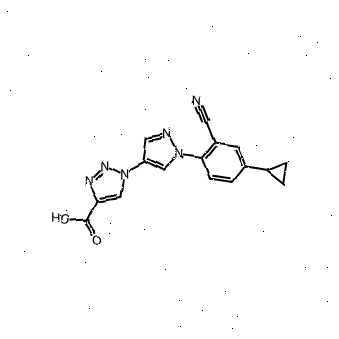 N#Cc1cc(C2CC2)ccc1-n1cc(-n2cc(C(=O)O)nn2)cn1